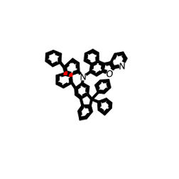 c1ccc(-c2ccc(N(c3cc4c(cc3-c3ccccc3)-c3ccccc3C4(c3ccccc3)c3ccccc3)c3cc4oc5ncccc5c4c4ccccc34)cc2)cc1